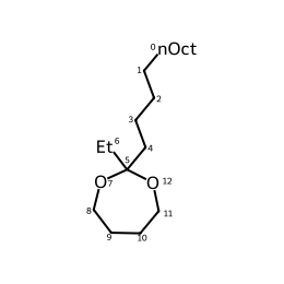 CCCCCCCCCCCCC1(CC)OCCCCO1